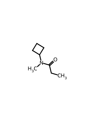 CCC(=O)N(C)C1CCC1